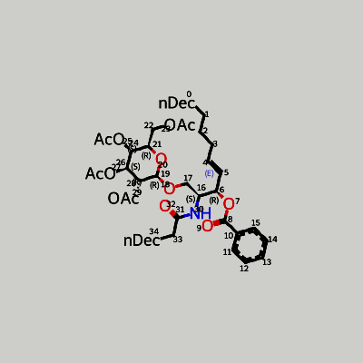 CCCCCCCCCCCCC/C=C/[C@@H](OC(=O)c1ccccc1)[C@H](CO[C@@H]1O[C@H](COC(C)=O)[C@H](OC(C)=O)[C@H](OC(C)=O)[C@H]1OC(C)=O)NC(=O)CCCCCCCCCCC